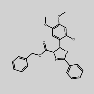 COc1cc(Cl)c(C2OC(c3ccccc3)=NC2C(=O)OCc2ccccc2)cc1OC